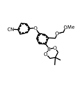 [C-]#[N+]c1ccc(Oc2ccc(B3OCC(C)(C)CO3)c(COCOC)c2)cc1